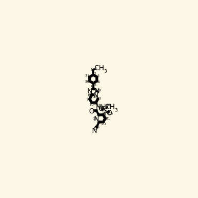 CCc1ccc(-c2nc3ccc(NC(=O)c4nc(C#N)ccc4S(C)(=O)=O)cn3n2)cc1